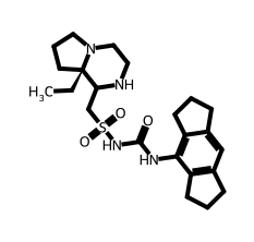 CC[C@@]12CCCN1CCNC2CS(=O)(=O)NC(=O)Nc1c2c(cc3c1CCC3)CCC2